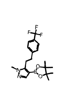 Cn1ncc(B2OC(C)(C)C(C)(C)O2)c1CCc1ccc(C(F)(F)F)cc1